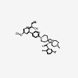 CCOC1=CN/C(=C(/C#N)C=N)C(c2ccc(N3CCC(CN4CCN(C)CC4)(NC(=O)c4cc(F)ccc4F)CC3)nc2)=C1